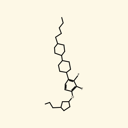 CCCCCC1CCC(C2CCC(c3ccc(OC4CCC(CCC)C4)c(F)c3F)CC2)CC1